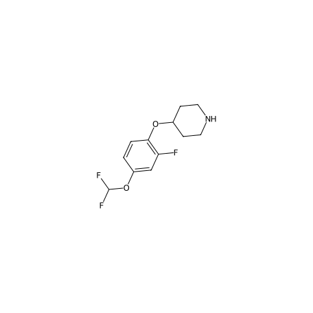 Fc1cc(OC(F)F)ccc1OC1CCNCC1